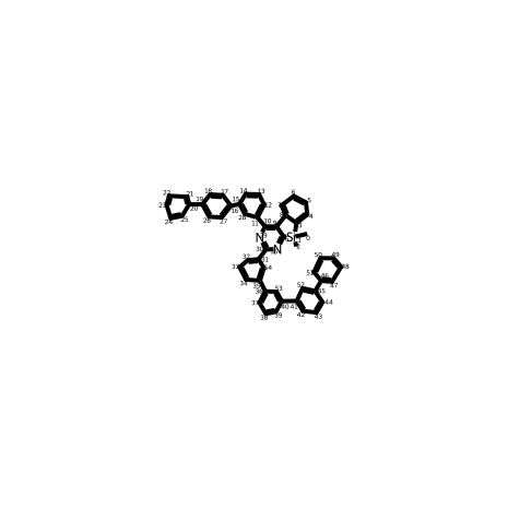 C[Si]1(C)c2ccccc2-c2c(-c3cccc(-c4ccc(-c5ccccc5)cc4)c3)nc(-c3cccc(-c4cccc(-c5cccc(-c6ccccc6)c5)c4)c3)nc21